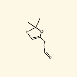 CC1(C)OC=C(CC=O)O1